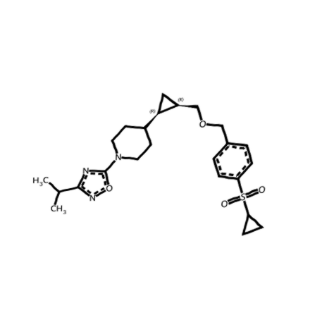 CC(C)c1noc(N2CCC([C@H]3C[C@H]3COCc3ccc(S(=O)(=O)C4CC4)cc3)CC2)n1